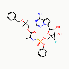 C[C@H](NSP(=O)(OC[C@@]12O[C@@H](c3ccc4c(N)ncnn34)[C@H](O)[C@@]1(O)C2F)Oc1ccccc1)C(=O)OCC(C)(C)OCc1ccccc1